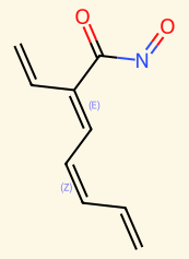 C=C/C=C\C=C(/C=C)C(=O)N=O